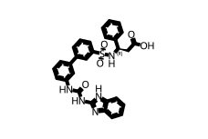 O=C(O)C[C@@H](NS(=O)(=O)c1cccc(-c2cccc(NC(=O)Nc3nc4ccccc4[nH]3)c2)c1)c1ccccc1